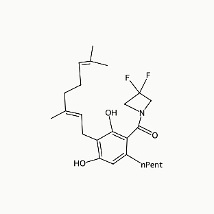 CCCCCc1cc(O)c(C/C=C(\C)CCC=C(C)C)c(O)c1C(=O)N1CC(F)(F)C1